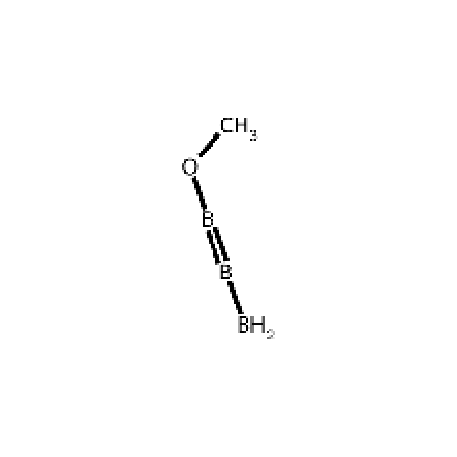 BB=BOC